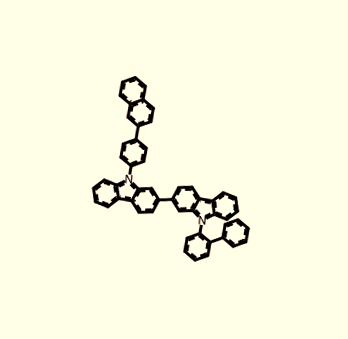 c1ccc(-c2ccccc2-n2c3ccccc3c3ccc(-c4ccc5c6ccccc6n(-c6ccc(-c7ccc8ccccc8c7)cc6)c5c4)cc32)cc1